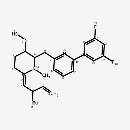 C=CC(/C=C1/CCC(NS)C(Cc2cccc(-c3cc(F)cc(F)c3)n2)N1C)C(C)CC